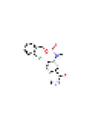 CN(C(=O)OCc1ccccc1Br)c1cccc(C(N)=O)c1